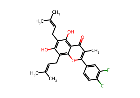 CC(C)=CCc1c(O)c(CC=C(C)C)c2oc(-c3ccc(Cl)c(F)c3)c(C)c(=O)c2c1O